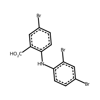 O=C(O)c1cc(Br)ccc1Nc1ccc(Br)cc1Br